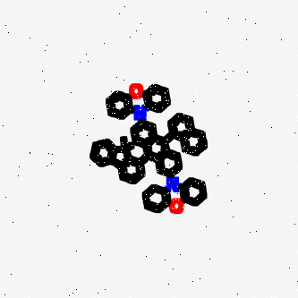 CC1(C)c2ccccc2-c2cccc(-c3c4c(c(-c5cccc6ccccc56)c5cc(N6c7ccccc7Oc7ccccc76)ccc35)=CCC(N3C5=C(CCC=C5)OC5=C3CCC=C5)C=4)c21